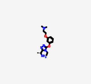 CCn1c(Oc2cccc(OCCN(C)C)c2)nnc1[C@@H](C)N